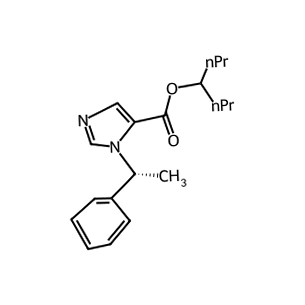 CCCC(CCC)OC(=O)c1cncn1[C@H](C)c1ccccc1